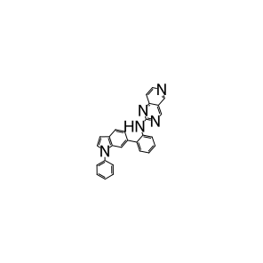 c1ccc(-n2ccc3ccc(-c4ccccc4Nc4ncc5cnccc5n4)cc32)cc1